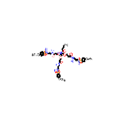 COc1ccc(S(=O)(=O)NCCCNC(=O)CCOCC(COCCC(=O)NCCCNS(=O)(=O)c2ccc(OC)cc2)(COCCC(=O)NCCCNS(=O)(=O)c2ccc(OC)cc2)NC(=O)CCCC(C)=O)cc1